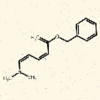 C=C(/C=C\C=C/N(C)C)OCc1ccccc1